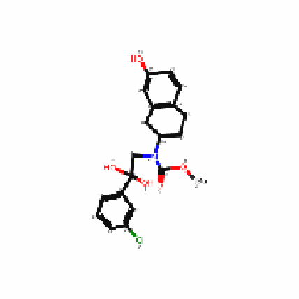 CC(C)(C)OC(=O)N(CC(O)(O)c1cccc(Cl)c1)C1CCc2ccc(O)cc2C1